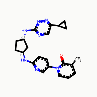 O=c1c(C(F)(F)F)cccn1-c1ccc(N[C@H]2CC[C@H](Nc3ncc(C4CC4)nn3)C2)nc1